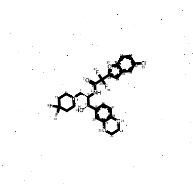 O=C(N[C@H](CN1CCC(F)(F)CC1)[C@@H](O)c1ccc2c(c1)OCCO2)C(F)(F)c1cc2cc(Cl)ccc2o1